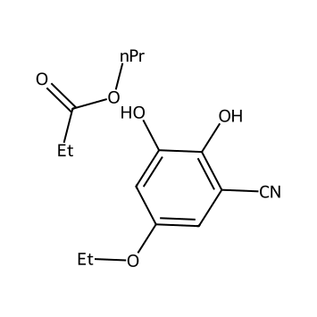 CCCOC(=O)CC.CCOc1cc(O)c(O)c(C#N)c1